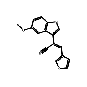 COc1ccc2[nH]cc(/C(C#N)=C/c3ccsc3)c2c1